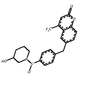 O=c1cc(C(F)(F)F)c2cc(Cc3ccc([S+]([O-])N4CCCC(O)C4)cc3)ccc2o1